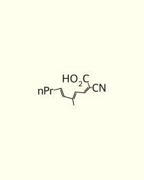 CCCC=CC(C)=CC=C(C#N)C(=O)O